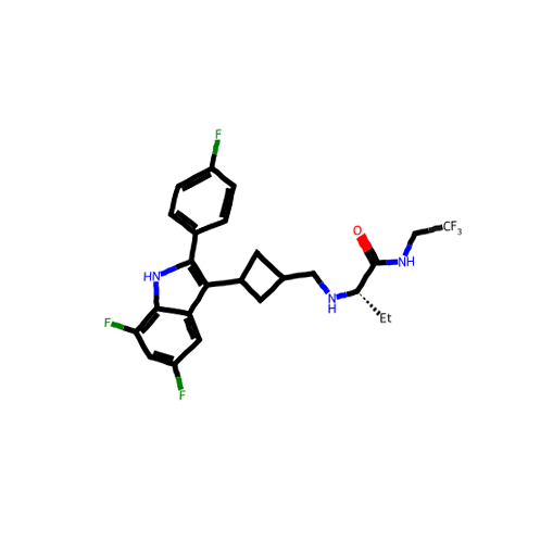 CC[C@H](NCC1CC(c2c(-c3ccc(F)cc3)[nH]c3c(F)cc(F)cc23)C1)C(=O)NCC(F)(F)F